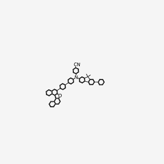 CC1(C)c2cc(-c3ccccc3)ccc2-c2ccc(N(c3ccc(C#N)cc3)c3ccc(-c4ccc(-c5cc6ccccc6c6c5oc5ccc7ccccc7c56)cc4)cc3)cc21